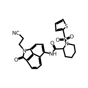 N#CCCN1C(=O)c2cccc3c(NC(=O)C4CCCCN4S(=O)(=O)c4cccs4)ccc1c23